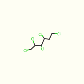 ClCCC(Cl)C(Cl)C(Cl)CCl